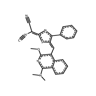 [C-]#[N+]/C(C#N)=c1/nc(-c2ccccc2)/c(=C/c2c(OC)nc(N(C)C)c3ccccc23)s1